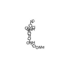 COc1ccc(CNC(=O)c2ccc(N3CCN(C(=O)Nc4c(Cl)cc(CN5CCCC5)cc4Cl)CC3)cc2)cc1